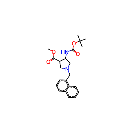 COC(=O)C1CN(Cc2cccc3ccccc23)CC1NC(=O)OC(C)(C)C